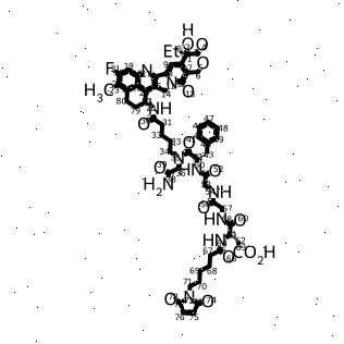 CC[C@@]1(O)C(=O)OCc2c1cc1n(c2=O)Cc2c-1nc1cc(F)c(C)c3c1c2[C@@H](NC(=O)CCCCN(CC(N)=O)C(=O)[C@H](Cc1ccccc1)NC(=O)CNC(=O)CNC(=O)[C@H](CC(=O)O)NC(=O)CCCCCN1C(=O)C=CC1=O)CC3